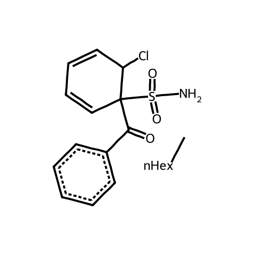 CCCCCCC.NS(=O)(=O)C1(C(=O)c2ccccc2)C=CC=CC1Cl